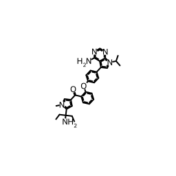 CCC(N)(CC)c1cc(C(=O)c2ccccc2Oc2ccc(-c3cn(C(C)C)c4ncnc(N)c34)cc2)cn1C